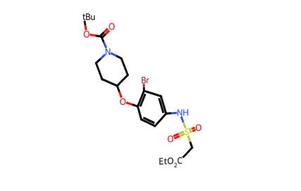 CCOC(=O)CS(=O)(=O)Nc1ccc(OC2CCN(C(=O)OC(C)(C)C)CC2)c(Br)c1